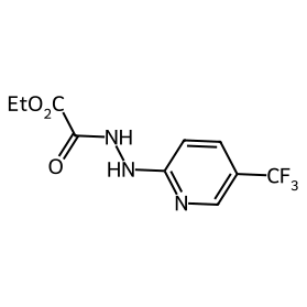 CCOC(=O)C(=O)NNc1ccc(C(F)(F)F)cn1